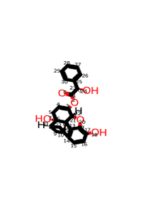 O=C(OC1=CC[C@@]2(O)[C@@H]3CCC[C@@]24c2c(ccc(O)c2O[C@@H]14)C3)[C@H](O)c1ccccc1